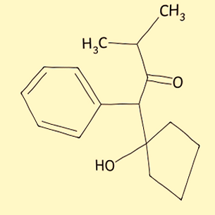 CC(C)C(=O)C(c1ccccc1)C1(O)CCCC1